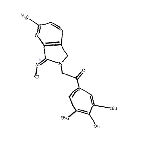 Cc1ccc2c(n1)/C(=N/Cl)N(CC(=O)c1cc(C(C)(C)C)c(O)c(C(C)(C)C)c1)C2